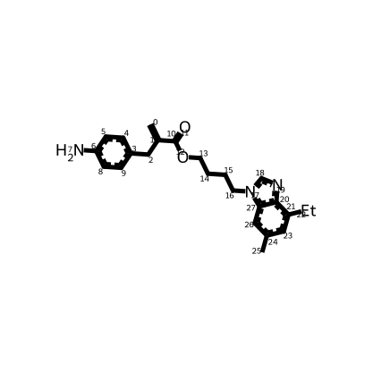 C=C(Cc1ccc(N)cc1)C(=O)OCCCCn1cnc2c(CC)cc(C)cc21